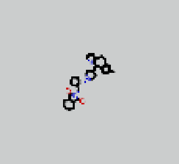 Cc1ccc2c(c1)CCc1cccnc1C2=C1CCN(C[C@H]2CCCC[C@@H]2CN2C(=O)C3CCCCC3C2=O)CC1